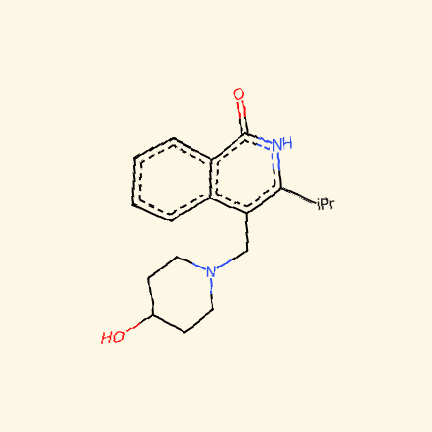 CC(C)c1[nH]c(=O)c2ccccc2c1CN1CCC(O)CC1